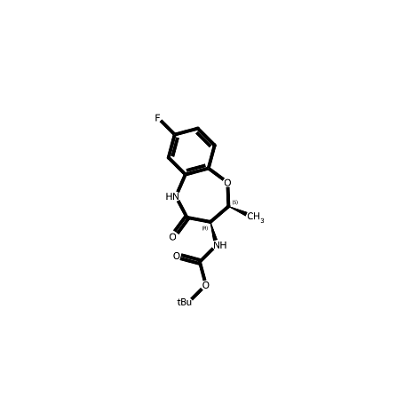 C[C@@H]1Oc2ccc(F)cc2NC(=O)[C@@H]1NC(=O)OC(C)(C)C